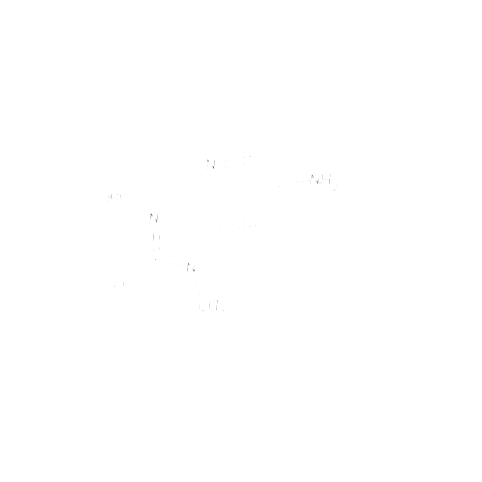 CC(C)n1c(=O)n(C)c2cc(N)cnc21